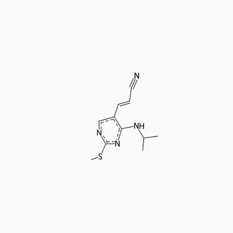 CSc1ncc(/C=C/C#N)c(NC(C)C)n1